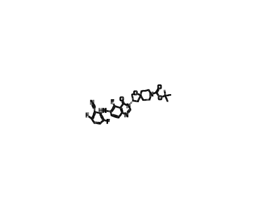 CC(C)(C)OC(=O)N1CCC2(CC1)C[C@H](n1cnc3ccc(Nc4c(F)ccc(F)c4C#N)c(F)c3c1=O)CO2